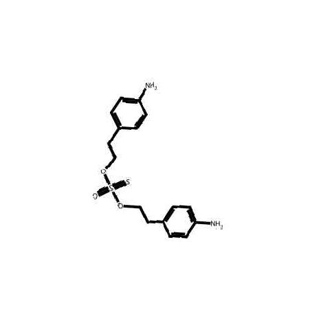 Nc1ccc(CCOS(=O)(=S)OCCc2ccc(N)cc2)cc1